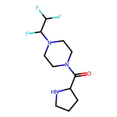 O=C(C1CCCN1)N1CCN(C(F)C(F)F)CC1